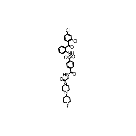 CN1CCC(N2CCN(C(=O)CNC(=O)c3ccc(S(=O)(=O)Nc4ccccc4C(=O)c4ccc(Cl)cc4Cl)cc3)CC2)CC1